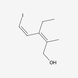 CCC(/C=C\I)=C(\C)CO